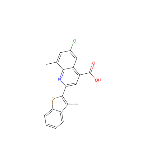 Cc1c(-c2cc(C(=O)O)c3cc(Cl)cc(C)c3n2)sc2ccccc12